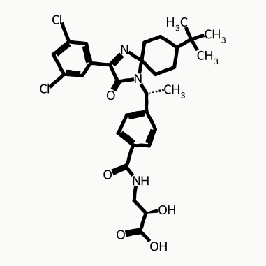 C[C@H](c1ccc(C(=O)NC[C@@H](O)C(=O)O)cc1)N1C(=O)C(c2cc(Cl)cc(Cl)c2)=NC12CCC(C(C)(C)C)CC2